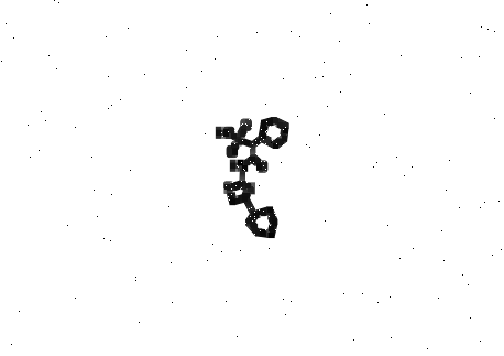 O=C(Nc1nc(-c2ccccc2)cs1)C(c1ccccc1)S(=O)(=O)O